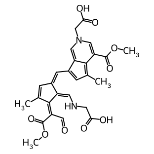 COC(=O)\C(C=O)=C1C(C)=CC(=C/c2cc(C)c3c(C(=O)OC)cn(CC(=O)O)cc2-3)/C/1=C/NCC(=O)O